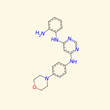 Nc1ccccc1Nc1cc(Nc2ccc(N3CCOCC3)cc2)ncn1